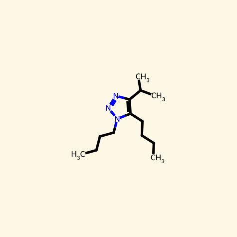 CCCCc1c(C(C)C)nnn1CCCC